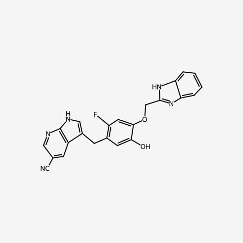 N#Cc1cnc2[nH]cc(Cc3cc(O)c(OCc4nc5ccccc5[nH]4)cc3F)c2c1